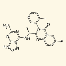 Cc1ccccc1-n1c([C@H](C)Nc2nc(N)nc3[nH]cnc23)nc2ccc(F)cc2c1=O